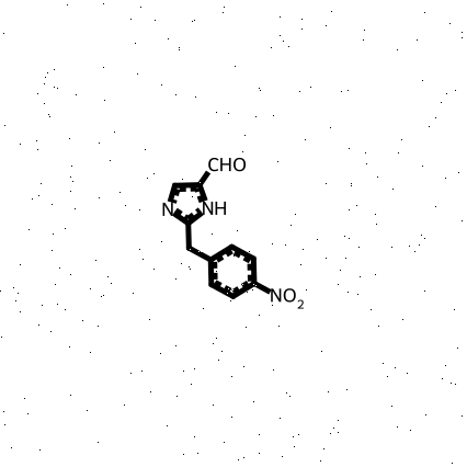 O=Cc1cnc(Cc2ccc([N+](=O)[O-])cc2)[nH]1